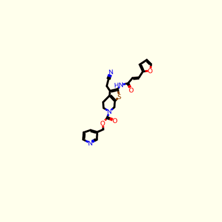 N#CCc1c(NC(=O)/C=C/c2ccco2)sc2c1CCN(C(=O)OCc1cccnc1)C2